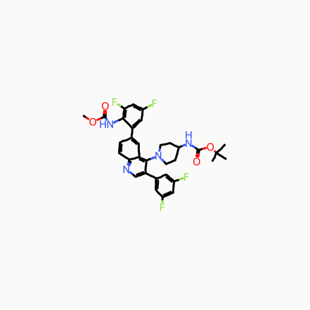 COC(=O)Nc1c(F)cc(F)cc1-c1ccc2ncc(-c3cc(F)cc(F)c3)c(N3CCC(NC(=O)OC(C)(C)C)CC3)c2c1